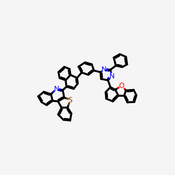 c1ccc(-c2nc(-c3cccc(-c4ccc(-c5nc6ccccc6c6c5sc5ccccc56)c5ccccc45)c3)cc(-c3cccc4c3oc3ccccc34)n2)cc1